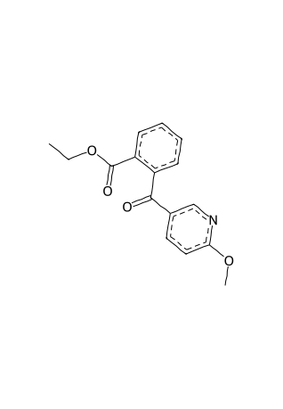 CCOC(=O)c1ccccc1C(=O)c1ccc(OC)nc1